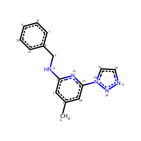 Cc1cc(NCc2ccccc2)nc(-n2ccnn2)c1